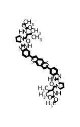 COC(=O)NC(C(=O)N1CCC[C@H]1c1nc2ccc(-c3cc4cc5sc(-c6ccc7nc([C@@H]8CCCN8C(=O)[C@@H](NC(=O)OC)C(C)C)[nH]c7c6)cc5cc4s3)cc2[nH]1)C(C)C